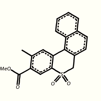 COC(=O)c1cc2c(cc1C)-c1c(ccc3ccccc13)CS2(=O)=O